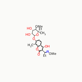 CCC(=NOC)c1c(O)c2ccc(O[C@@H]3O[C@@](C)(CC)[C@H](OC)[C@@H](O)[C@H]3O)c(C)c2oc1=O